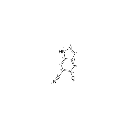 N#Cc1cc2[nH]ncc2cc1Cl